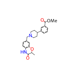 COC(=O)c1cccc(C2CCN(Cc3ccc4c(c3)OC(C)C(=O)N4)CC2)c1